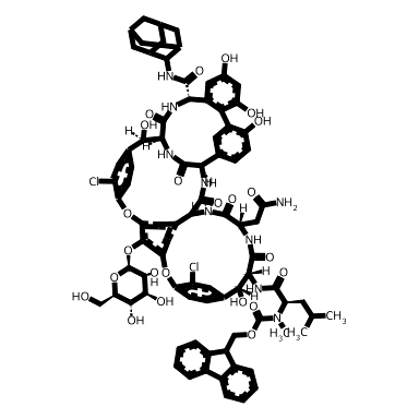 CC(C)C[C@H](C(=O)N[C@H]1C(=O)N[C@@H](CC(N)=O)C(=O)N[C@H]2C(=O)N[C@H]3C(=O)N[C@H](C(=O)N[C@H](C(=O)NC4C5CC6CC(C5)CC4C6)c4cc(O)cc(O)c4-c4cc3ccc4O)[C@H](O)c3ccc(c(Cl)c3)Oc3cc2cc(c3O[C@@H]2O[C@H](CO)[C@@H](O)[C@H](O)[C@H]2O)Oc2ccc(cc2Cl)[C@H]1O)N(C)C(=O)OCC1c2ccccc2-c2ccccc21